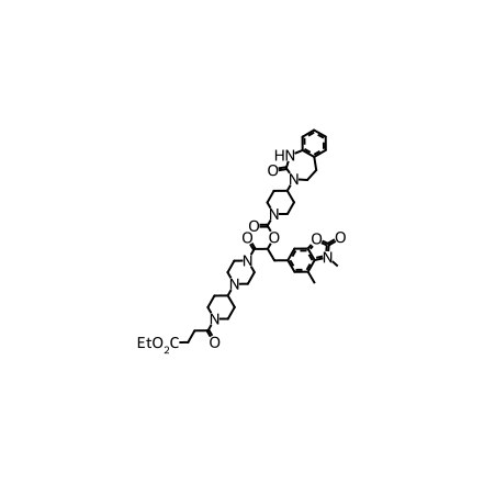 CCOC(=O)CCC(=O)N1CCC(N2CCN(C(=O)C(Cc3cc(C)c4c(c3)oc(=O)n4C)OC(=O)N3CCC(N4CCc5ccccc5NC4=O)CC3)CC2)CC1